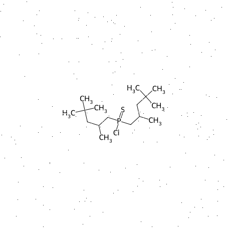 CC(CC(C)(C)C)CP(=S)(Cl)CC(C)CC(C)(C)C